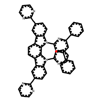 c1ccc(-c2cc(-c3ccccc3)nc(-n3c4ccc(-c5ncccn5)cc4c4ccc5c6cc(-c7ncccn7)ccc6n(-c6ccccn6)c5c43)n2)cc1